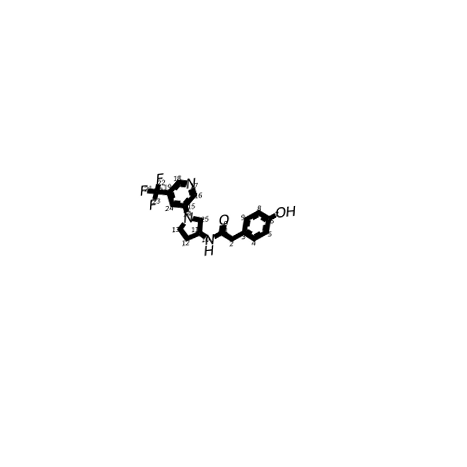 O=C(Cc1ccc(O)cc1)NC1CCN(c2cncc(C(F)(F)F)c2)C1